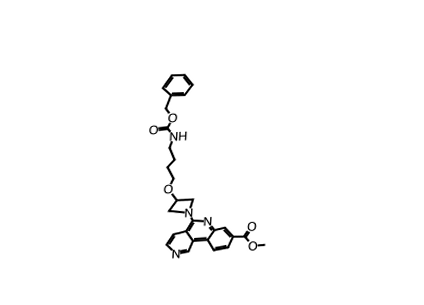 COC(=O)c1ccc2c(c1)nc(N1CC(OCCCCNC(=O)OCc3ccccc3)C1)c1ccncc12